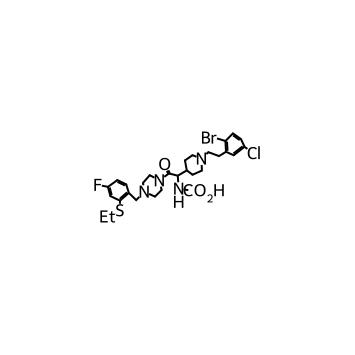 CCSc1cc(F)ccc1CN1CCN(C(=O)C(NC(=O)O)C2CCN(CCc3cc(Cl)ccc3Br)CC2)CC1